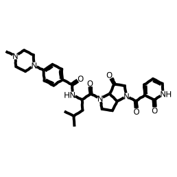 CC(C)CC(NC(=O)c1ccc(N2CCN(C)CC2)cc1)C(=O)N1CCC2C1C(=O)CN2C(=O)c1ccc[nH]c1=O